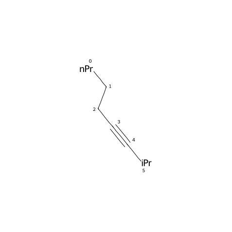 [CH2]CCCCC#CC(C)C